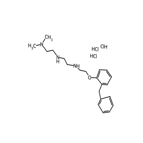 CN(C)CCNCCNCCOc1ccccc1Cc1ccccc1.Cl.Cl.Cl